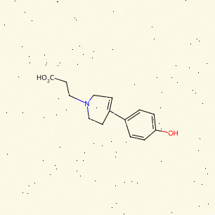 O=C(O)CCN1CC=C(c2ccc(O)cc2)CC1